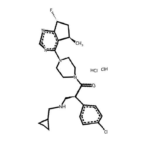 C[C@@H]1C[C@@H](F)c2ncnc(N3CCN(C(=O)[C@H](CNCC4CC4)c4ccc(Cl)cc4)CC3)c21.Cl.Cl